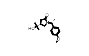 COc1ccc([C@@H](C)N2C[C@H](C(C)(C)O)CC2=O)cc1